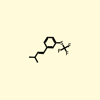 CC(C)/C=C/c1cccc(SC(F)(F)F)c1